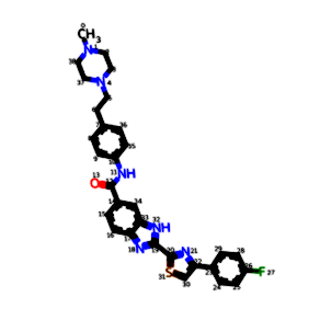 CN1CCN(CCc2ccc(NC(=O)c3ccc4nc(-c5nc(-c6ccc(F)cc6)cs5)[nH]c4c3)cc2)CC1